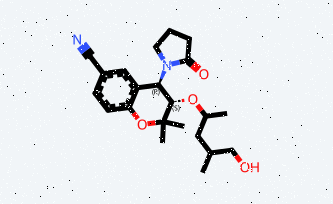 CC(CO)CC(C)O[C@H]1[C@H](N2CCCC2=O)c2cc(C#N)ccc2OC1(C)C